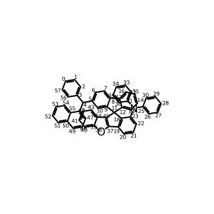 c1ccc(C(c2ccc3c(c2)C2(c4ccccc4-3)c3c(cccc3N(c3ccccc3)c3ccccc3)-c3oc4ccccc4c32)c2cccc3ccccc23)cc1